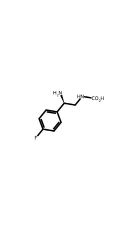 N[C@@H](CNC(=O)O)c1ccc(F)cc1